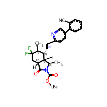 C[C@@H]1[C@H]2[C@@H](/C=C/c3ccc(-c4ccccc4C#N)cn3)[C@H](C)C(F)(F)C[C@H]2C(=O)N1C(=O)OC(C)(C)C